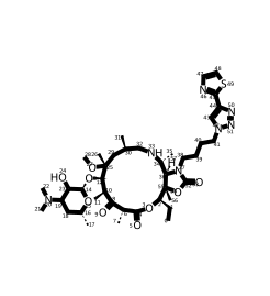 CC[C@H]1OC(=O)[C@H](C)C(=O)[C@@H](C)[C@@H](O[C@@H]2O[C@H](C)CC(N(C)C)C2O)[C@](C)(OC)C[C@@H](C)CN[C@H](C)[C@H]2N(CCCCn3cc(-c4nccs4)nn3)C(=O)O[C@]12C